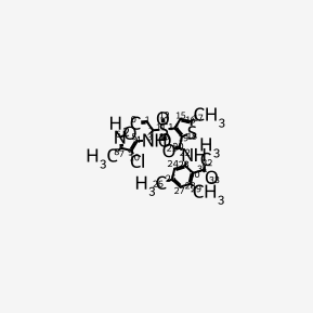 C=CC(Nc1onc(C)c1Cl)S(=O)(=O)c1cc(C)sc1C(=O)Nc1cc(C)cc(C)c1C(C)=O